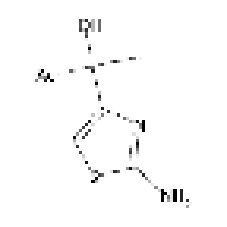 [CH2]C(O)(C(C)=O)c1csc(N)n1